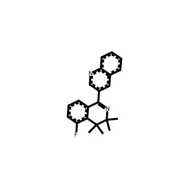 CC1(C)N=C(c2cnc3ccccc3c2)c2cccc(F)c2C1(C)C